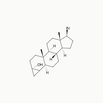 CC(=O)[C@H]1CC[C@H]2[C@@H]3CC[C@H]4C5C[C@@]5(O)CC[C@]4(C)[C@H]3CC[C@]12C